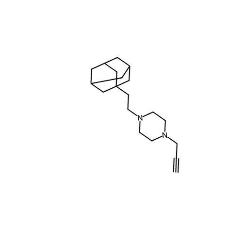 C#CCN1CCN(CCC23CC4CC(CC(C4)C2)C3)CC1